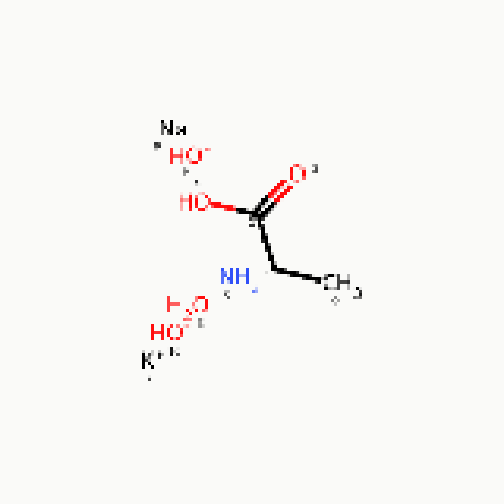 CCC(=O)O.N.O.[K+].[Na+].[OH-].[OH-]